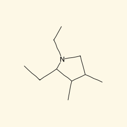 CCC1C(C)C(C)CN1CC